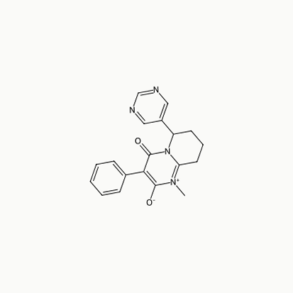 C[n+]1c([O-])c(-c2ccccc2)c(=O)n2c1CCCC2c1cncnc1